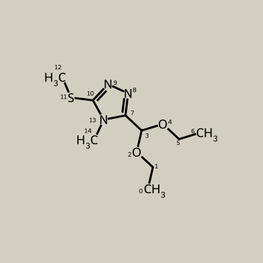 CCOC(OCC)c1nnc(SC)n1C